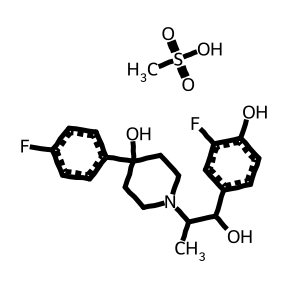 CC(C(O)c1ccc(O)c(F)c1)N1CCC(O)(c2ccc(F)cc2)CC1.CS(=O)(=O)O